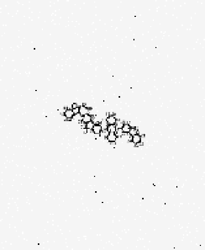 CC1(C)c2ccc(-c3c4ccccc4c(-c4ccc5sc6ccccc6c5c4)c4ccccc34)cc2-c2cc3ccc4oc5ccccc5c4c3cc21